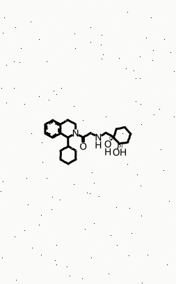 O=C(CNC[C@@]1(O)CCCC[C@@H]1O)N1CCc2ccccc2C1C1CCCCC1